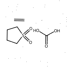 C=C.O=C(O)O.O=S1(=O)CCCC1